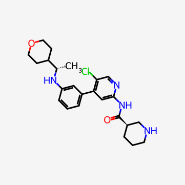 C[C@H](Nc1cccc(-c2cc(NC(=O)[C@@H]3CCCNC3)ncc2Cl)c1)C1CCOCC1